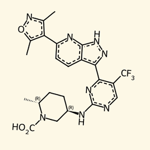 Cc1noc(C)c1-c1ccc2c(-c3nc(N[C@@H]4CC[C@@H](C)N(C(=O)O)C4)ncc3C(F)(F)F)n[nH]c2n1